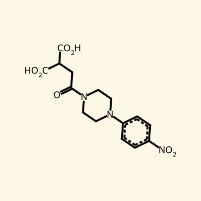 O=C(O)C(CC(=O)N1CCN(c2ccc([N+](=O)[O-])cc2)CC1)C(=O)O